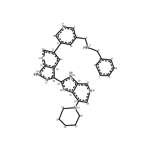 c1ccc(CNCc2cncc(-c3ccc4[nH]nc(-c5nc6c(N7CCCCC7)cncc6[nH]5)c4c3)c2)cc1